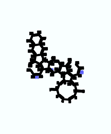 C=c1ccccc(=C)cc2c(c1)c(/C=C\C)c1c(=C)c(C)c(/C=c3/c(/C=C\C)c4c(=C)c5cc6ccccc6cc5n4c3=C)n12